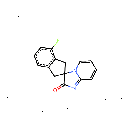 O=C1N=C2C=CC=CN2C12Cc1cccc(F)c1C2